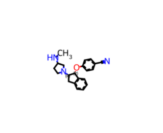 CNC1CCN([C@@H]2Cc3ccccc3[C@H]2Oc2ccc(C#N)cc2)C1